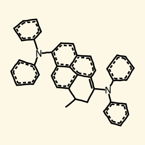 CC1CC(N(c2ccccc2)c2ccccc2)=c2ccc3ccc(N(c4ccccc4)c4ccccc4)c4ccc1c2c34